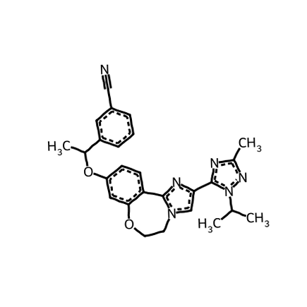 Cc1nc(-c2cn3c(n2)-c2ccc(OC(C)c4cccc(C#N)c4)cc2OCC3)n(C(C)C)n1